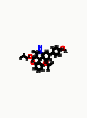 CCCOC(=O)C1=C(C)NC2=C(C(=O)CC(c3ccc(OC)cc3)C2)C1c1ccccc1OC(C)C